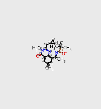 CC(=N[S@+]([O-])C(C)(C)C)c1cc(C)cc2c(=O)n(C)c(CC3CC3)nc12